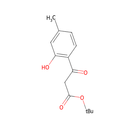 Cc1ccc(C(=O)CC(=O)OC(C)(C)C)c(O)c1